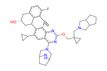 C#Cc1c(F)ccc2c1C(c1c(C3CC3)cc3c(N4CC5CCC(C4)N5)nc(OCC4(CN5CC6CCCC6C5)CC4)nc3c1F)C[C@H](O)C2